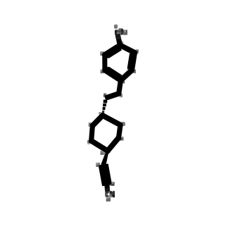 CCCCc1ccc(CC[C@H]2CC[C@H](C#CC#N)CC2)cc1